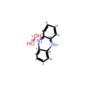 OO.c1ccc2nc3ccccc3nc2c1